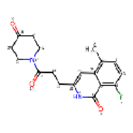 Cc1ccc(F)c2c(=O)[nH]c(CCC(=O)N3CCC(=O)CC3)cc12